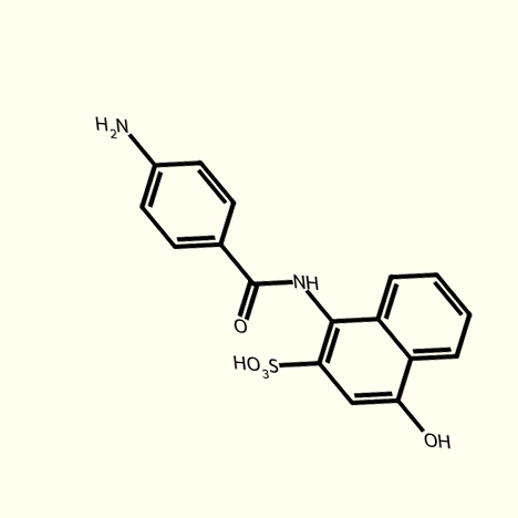 Nc1ccc(C(=O)Nc2c(S(=O)(=O)O)cc(O)c3ccccc23)cc1